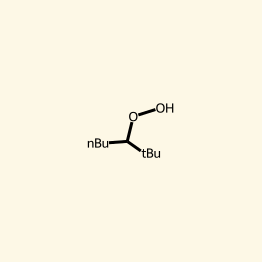 CCCCC(OO)C(C)(C)C